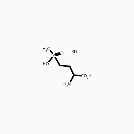 CP(=O)(O)CCC(N)C(=O)O.[KH]